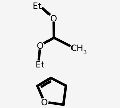 C1=COCC1.CCOC(C)OCC